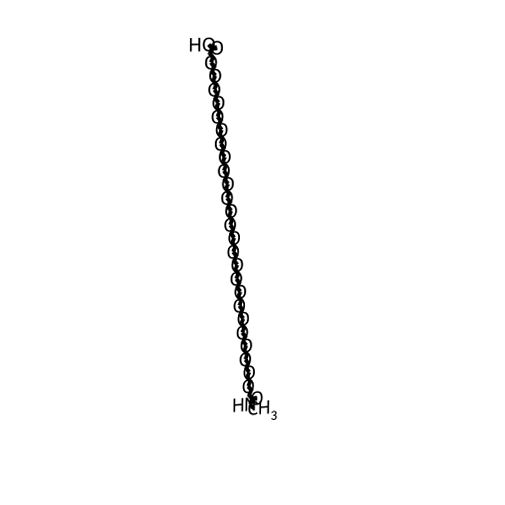 CNC(=O)CCOCCOCCOCCOCCOCCOCCOCCOCCOCCOCCOCCOCCOCCOCCOCCOCCOCCOCCOCCOCCOCCOCCOCCOCCOCCC(=O)O